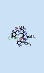 C[C@@H]1Cc2nn3c(c2CN1C(=O)c1ccc(Cl)c(Cl)c1)C(=O)N([C@@H](C)c1ccccn1)C[C@H]3C